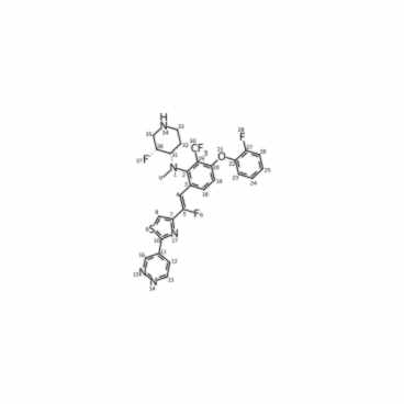 CN(c1c(/C=C(\F)c2csc(-c3ccnnc3)n2)ccc(Oc2ccccc2F)c1C(F)(F)F)[C@H]1CCNC[C@H]1F